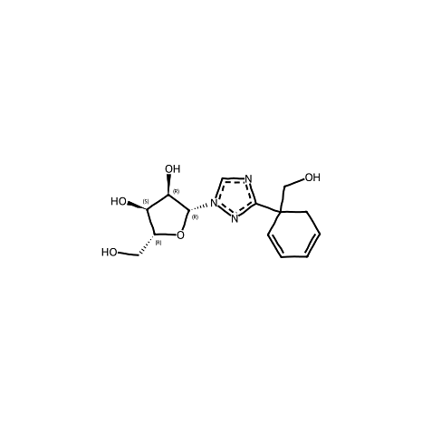 OC[C@H]1O[C@@H](n2cnc(C3(CO)C=CC=CC3)n2)[C@H](O)[C@@H]1O